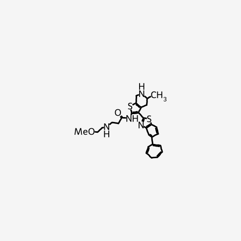 COCCNCCC(=O)Nc1sc2c(c1-c1nc3cc(C4=CC=CCC=C4)ccc3s1)CC(C)NC2